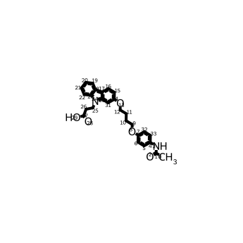 CC(=O)Nc1ccc(OCCCCOc2ccc3c4ccccc4n(CCC(=O)O)c3c2)cc1